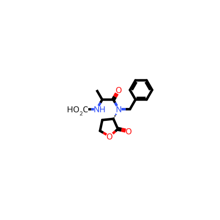 CC(NC(=O)O)C(=O)N(Cc1ccccc1)[C@H]1CCOC1=O